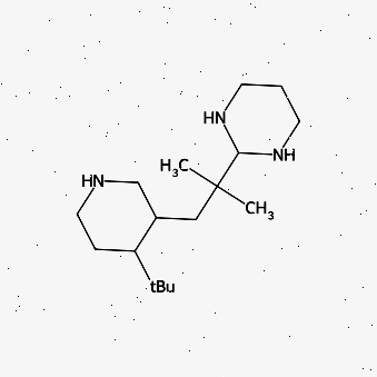 CC(C)(C)C1CCNCC1CC(C)(C)C1NCCCN1